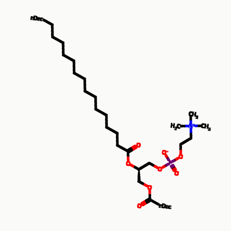 CCCCCCCCCCCCCCCCCCCCCCCCC(=O)O[C@H](COC(=O)CCCCCCCCCC)COP(=O)([O-])OCC[N+](C)(C)C